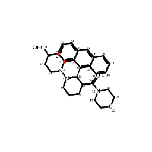 O=CC1CCN(N2CCCC(C(=O)N3CCOCC3)[C@@H]2c2c3ccccc3cc3ccccc23)CC1